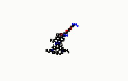 CN(C)c1ccc(-c2nc(-c3ccc(C(F)(F)F)cc3C(F)(F)F)n(Cc3ccc(C(=O)NCCOCCOCCN)cc3)c2-c2ccc(N(C)C)cc2)cc1